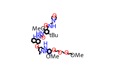 C=C/C=C(\C=C(/N)Nc1cc(OC)cc(OCCOCCOCCOC)c1)Oc1ccc(NC(=O)Nc2cc(C(C)(C)C)cc(C(=O)NCCN3CCOCC3)c2OC)c2ccccc12